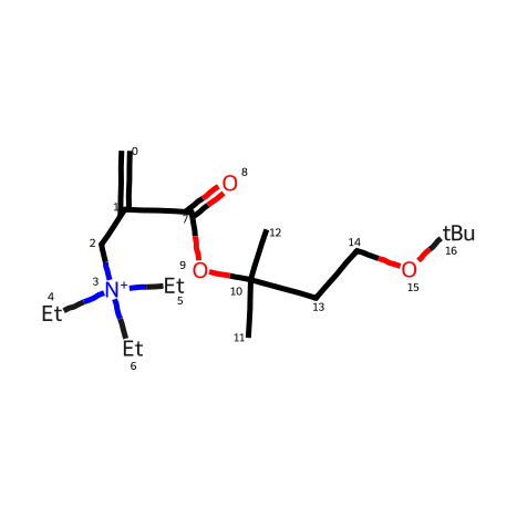 C=C(C[N+](CC)(CC)CC)C(=O)OC(C)(C)CCOC(C)(C)C